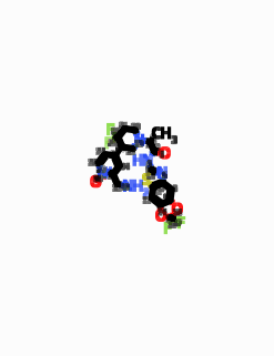 C[C@@H](C(=O)Nc1nc2cc3c(cc2s1)OC(F)(F)O3)N1CCC(F)(F)[C@H](c2cc[n+]([O-])c(CN)c2)C1